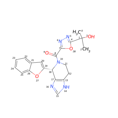 CC(C)(O)c1nnc(C(=O)N2CCc3[nH]cnc3[C@@H]2c2cc3ccccc3o2)o1